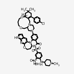 CN1CCC(Nc2ccc(S(=O)(=O)NC(=O)c3ccc(N4CCN5CC6=C(c7ccc(Cl)cc7)CC(C)(C)C[C@H]6OCCCOCC5C4)cc3N3CCCOc4nc5[nH]ccc5cc43)cc2[NH+]([O-])O)CC1